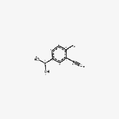 [C-]#[N+]c1cc(B(O)O)ccc1C